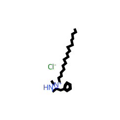 CCCCCCCCCCCCCCCCCC[N+]1=C(C)NCC1Cc1ccccc1.[Cl-]